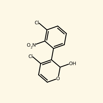 O=[N+]([O-])c1c(Cl)cccc1C1=C(Cl)C=COC1O